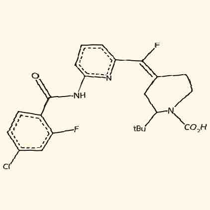 CC(C)(C)C1C/C(=C(/F)c2cccc(NC(=O)c3ccc(Cl)cc3F)n2)CCN1C(=O)O